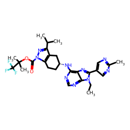 CCn1c(-c2cnc(C)nc2)nc2c(N[C@@H]3CCc4c(c(C(C)C)nn4C(=O)OC(C)(C)C(F)(F)F)C3)ncnc21